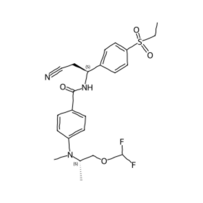 CCS(=O)(=O)c1ccc([C@H](CC#N)NC(=O)c2ccc(N(C)[C@@H](C)COC(F)F)cc2)cc1